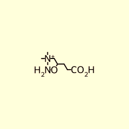 C[N+](C)(C)CC(CCC(=O)O)ON